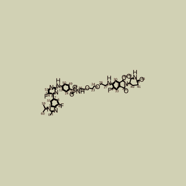 Cc1nc2c(F)cc(-c3nc(Nc4ccc(S(=O)(=O)NCCOCCOCCNc5cc6c(cc5F)C(=O)N(C5CCC(=O)NC5=O)C6=O)cc4)ncc3F)cc2n1C(C)C